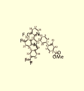 COC(=O)c1ccc(-c2cccc(-c3c(-c4ncccc4C(F)(F)F)c4cc(F)ccc4n3Sc3ccc(C(F)F)cc3)c2)c(C)c1